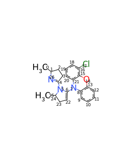 CC1CCC(N2C(N3c4ccccc4Oc4c(Cl)cccc43)=CCC2C)=N1